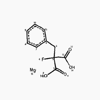 O=C(O)C(F)(Cc1ccccc1)C(=O)O.[Mg]